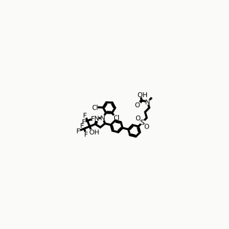 CN(CCCS(=O)(=O)c1cccc(-c2ccc(C3CC(C(O)(C(F)(F)F)C(F)(F)F)=NN3c3c(Cl)cccc3Cl)cc2)c1)C(=O)O